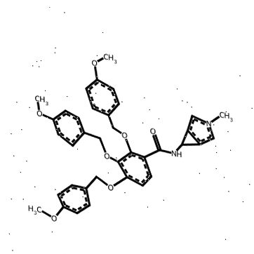 COc1ccc(COc2ccc(C(=O)NC3c4cn(C)cc43)c(OCc3ccc(OC)cc3)c2OCc2ccc(OC)cc2)cc1